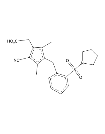 Cc1c(Cc2ccccc2S(=O)(=O)N2CCCC2)c(C)n(CC(=O)O)c1C#N